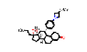 COC1CN(c2ccc([C@H]3C[C@@]4(C)[C@@H](CC[C@@]4(O)CCC(C)(C)C)[C@@H]4CCC5=CC(=O)CCC5=C43)cc2)C1